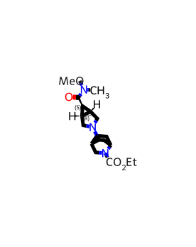 CCOC(=O)N1CC2CCC1CC2N1C[C@@H]2[C@H](C1)[C@@H]2C(=O)N(C)OC